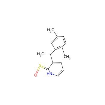 Cc1ccc(C)c(C(C)c2ccc[nH]c2=S=O)c1